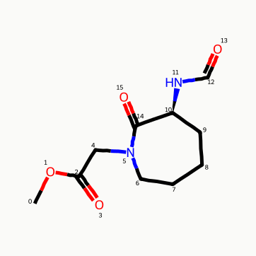 COC(=O)CN1CCCC[C@H](NC=O)C1=O